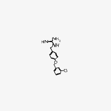 N=C(N)NCc1ccc(OCc2cccc(Cl)c2)cc1